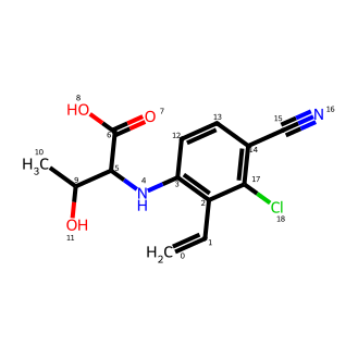 C=Cc1c(NC(C(=O)O)C(C)O)ccc(C#N)c1Cl